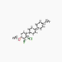 CCCOc1ccc(-c2ccc(-c3ccc(CCC)cc3)cc2)c(Cl)c1F